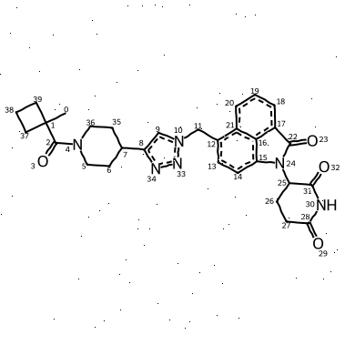 CC1(C(=O)N2CCC(c3cn(Cc4ccc5c6c(cccc46)C(=O)N5C4CCC(=O)NC4=O)nn3)CC2)CCC1